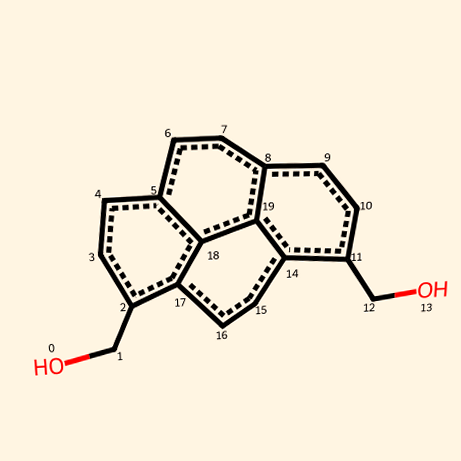 OCc1ccc2ccc3ccc(CO)c4ccc1c2c34